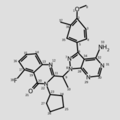 COc1ccc(-c2nn(C(C)c3nc4cccc(F)c4c(=O)n3C3CCCC3)c3ncnc(N)c23)cc1C